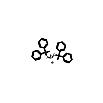 CC(O[PH](=O)OC(C)(c1ccccc1)c1ccccc1)(c1ccccc1)c1ccccc1